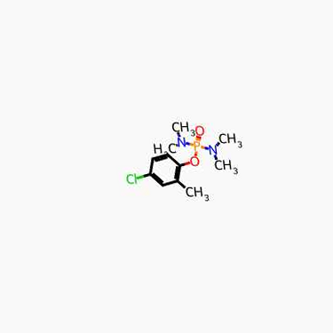 Cc1cc(Cl)ccc1OP(=O)(N(C)C)N(C)C